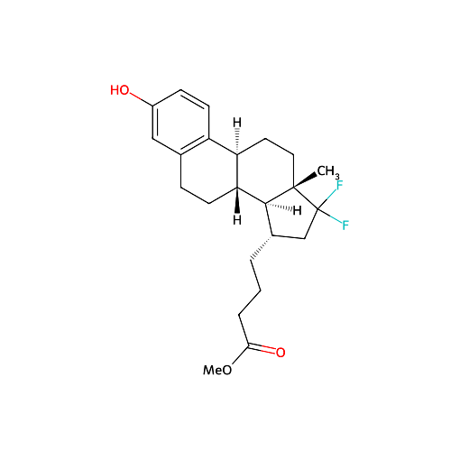 COC(=O)CCC[C@H]1CC(F)(F)[C@@]2(C)CC[C@@H]3c4ccc(O)cc4CC[C@H]3[C@H]12